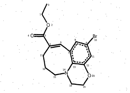 CCOC(=O)C1=Cc2cc(Br)cc3c2N(CCC1)CCO3